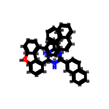 c1ccc(C2N=C(c3ccc4ccccc4c3)NC(c3cccc4oc5cccc(-c6ccc7ccc8ccccc8c7c6)c5c34)N2)cc1